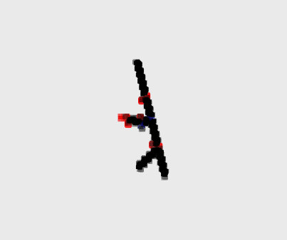 CCCCCCCCCCCOC(=O)CCCCCN(CCCCCCCC(=O)OC(CCCCCCCC)CCCCCCCC)CCN(C)C(=O)CCC(=O)O